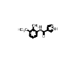 Cc1c(NC(=O)c2cn[nH]c2)cccc1C(=O)O